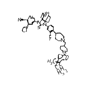 CC(C)(C)OC(=O)N1CCC(CN2CCC(c3ccc(N4C(=S)N(c5cnc(C#N)c(Cl)c5)C(=N)C45CCC5)cc3F)CC2)CC1